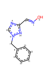 ON=Cc1ncn(Cc2ccccc2)n1